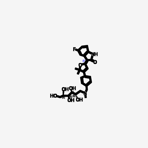 CN(Cc1ccc(C2=C/C(=C3\C(=O)Nc4ccc(F)cc43)OC2(C)C)cc1)C[C@H](O)[C@@H](O)[C@@H](O)[C@H](O)CO